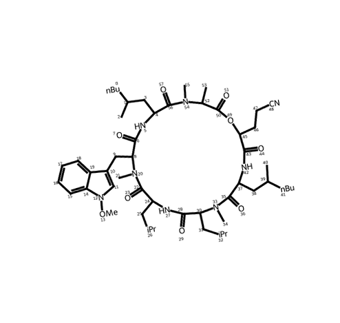 CCCCC(C)CC1NC(=O)C(Cc2cn(OC)c3ccccc23)N(C)C(=O)C(CC(C)C)NC(=O)C(CC(C)C)N(C)C(=O)C(CC(C)CCCC)NC(=O)C(CCC#N)OC(=O)C(C)N(C)C1=O